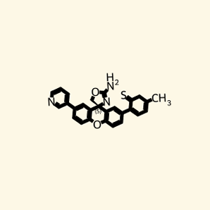 CC1=CC=C(c2ccc3c(c2)[C@]2(COC(N)=N2)c2cc(-c4cccnc4)ccc2O3)C(=S)C1